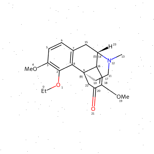 CCOc1c(OC)ccc2c1[C@@]13CCN(C)[C@@H](C2)C1C=C(OC)C(=O)C3